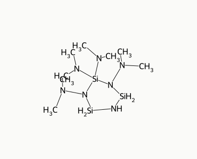 CN(C)N1[SiH2]N[SiH2]N(N(C)C)[Si]1(N(C)C)N(C)C